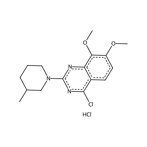 COc1ccc2c(Cl)nc(N3CCCC(C)C3)nc2c1OC.Cl